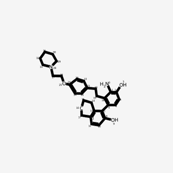 Nc1c(O)ccc(-c2c(O)ccc3c2CCCC3)c1CCc1ccc(OCCN2CCCCC2)cc1